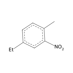 CCc1ccc(C)c([N+](=O)[O-])c1